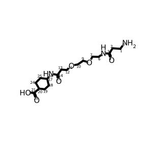 NCCC(=O)NCCOCCOCCC(=O)NC1CCC(C(=O)O)CC1